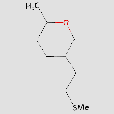 CSCCC1CCC(C)OC1